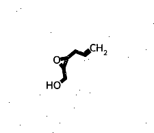 C=CCC1OC1CO